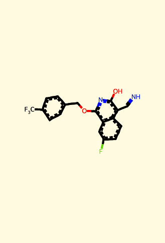 N=Cc1c(O)nc(OCc2ccc(C(F)(F)F)cc2)c2cc(F)ccc12